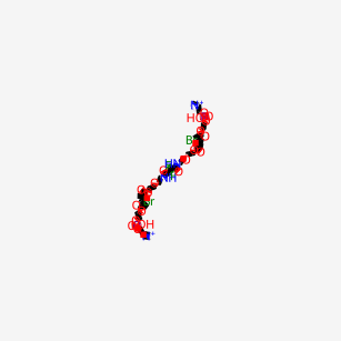 CC(C)(CC(C)(Br)C(=O)OCCOP(=O)(O)OCC[N+](C)(C)C)C(=O)OCCOCCNC(=O)C(F)C(F)C(=O)NCCOCCOC(=O)C(C)(C)CC(C)(Br)C(=O)OCCOP(=O)(O)OCC[N+](C)(C)C